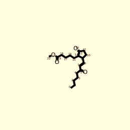 CCCCCC(=O)C=CC1CCC(=O)C1CCCCC(=O)OC